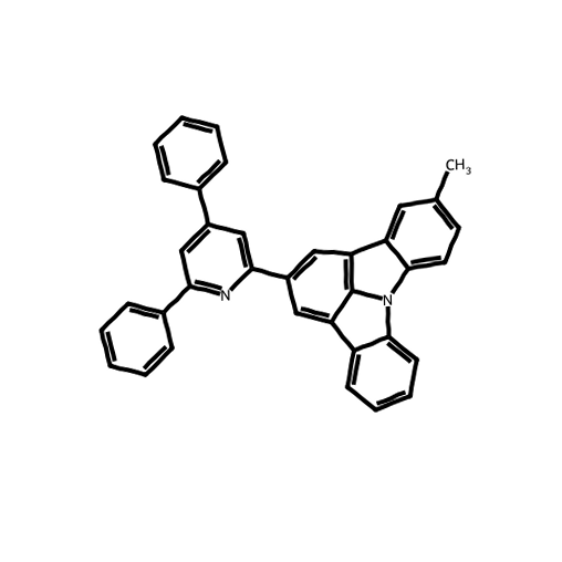 Cc1ccc2c(c1)c1cc(-c3cc(-c4ccccc4)cc(-c4ccccc4)n3)cc3c4ccccc4n2c31